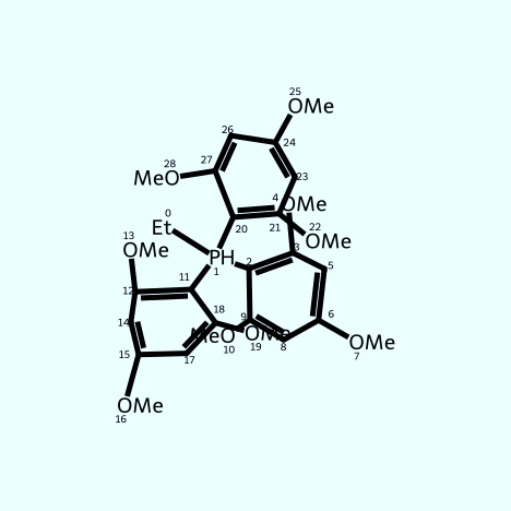 CC[PH](c1c(OC)cc(OC)cc1OC)(c1c(OC)cc(OC)cc1OC)c1c(OC)cc(OC)cc1OC